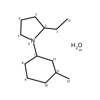 CCC1CCCN1C1CCCC(C)C1.O